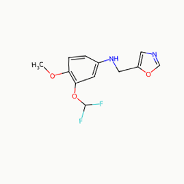 COc1ccc(NCc2cnco2)cc1OC(F)F